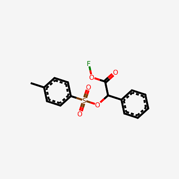 Cc1ccc(S(=O)(=O)OC(C(=O)OF)c2ccccc2)cc1